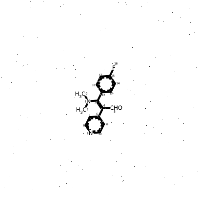 CN(C)C(=C(C=O)c1ccncc1)c1ccc(F)cc1